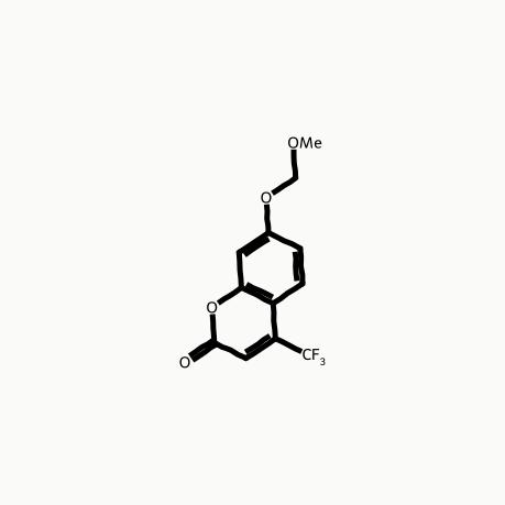 COCOc1ccc2c(C(F)(F)F)cc(=O)oc2c1